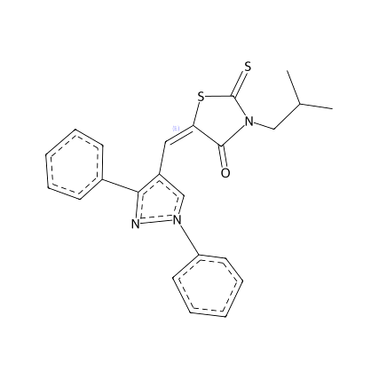 CC(C)CN1C(=O)/C(=C\c2cn(-c3ccccc3)nc2-c2ccccc2)SC1=S